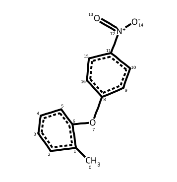 Cc1ccccc1Oc1ccc([N+](=O)[O-])cc1